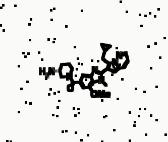 COc1cc(C(=O)N2CCC[C@@H](N)C2)cc2nc(-c3cc4cccnn4c3CC3CC3)n(C)c12